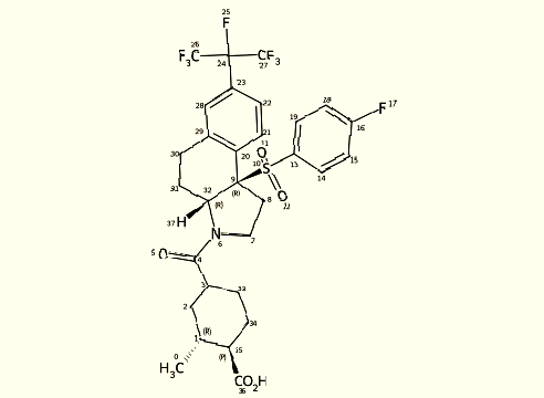 C[C@@H]1CC(C(=O)N2CC[C@@]3(S(=O)(=O)c4ccc(F)cc4)c4ccc(C(F)(C(F)(F)F)C(F)(F)F)cc4CC[C@@H]23)CC[C@H]1C(=O)O